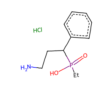 CCP(=O)(O)C(CCN)c1ccccc1.Cl